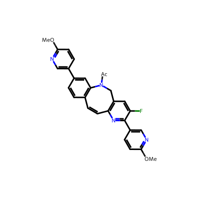 COc1ccc(-c2ccc3c(c2)N(C(C)=O)Cc2cc(F)c(-c4ccc(OC)nc4)nc2C=C3)cn1